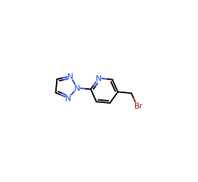 BrCc1ccc(-n2nccn2)nc1